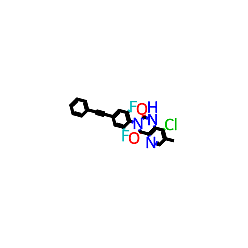 Cc1cnc2c(=O)n(-c3c(F)cc(C#Cc4ccccc4)cc3F)c(=O)[nH]c2c1Cl